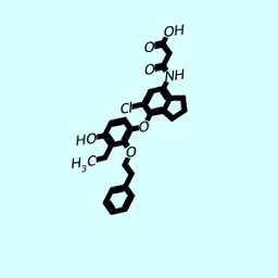 CCc1c(O)ccc(Oc2c(Cl)cc(NC(=O)CC(=O)O)c3c2CCC3)c1OCCc1ccccc1